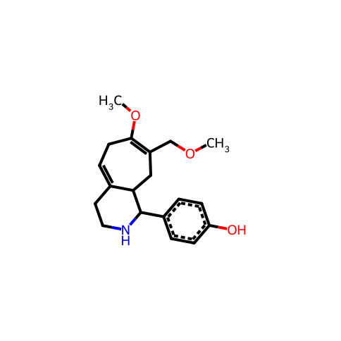 COCC1=C(OC)CC=C2CCNC(c3ccc(O)cc3)C2C1